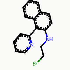 BrCCNc1ccc2ccccc2c1-c1ccccn1